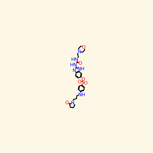 O=C(NCCN1CCOCC1)Nc1nc2ccc(OS(=O)(=O)c3ccc(NCCCN4CCCC4=O)cc3)cc2[nH]1